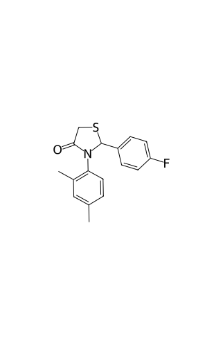 Cc1ccc(N2C(=O)CSC2c2ccc(F)cc2)c(C)c1